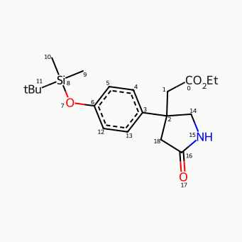 CCOC(=O)CC1(c2ccc(O[Si](C)(C)C(C)(C)C)cc2)CNC(=O)C1